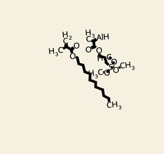 C=C(C)C(=O)OCCCCCCCCCCCC.CO[Si](CCCOC(=O)[C](C)=[AlH])(OC)OC